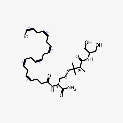 CC/C=C\C/C=C\C/C=C\C/C=C\C/C=C\C/C=C\CCC(=O)N[C@@H](CSSC(C)(C)[C@H](C)C(=O)NC(CO)CO)C(N)=O